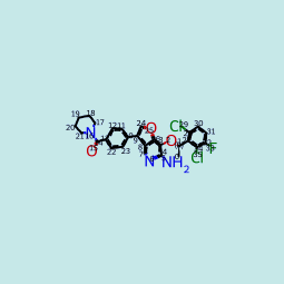 C[C@@H](Oc1c(N)ncc2c(-c3ccc(C(=O)N4CCCCC4)cc3)coc12)c1c(Cl)ccc(F)c1Cl